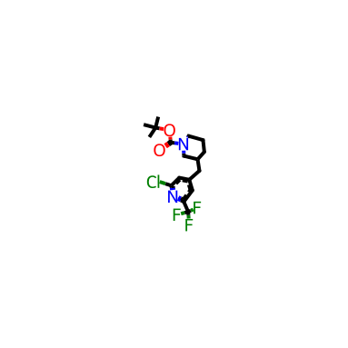 CC(C)(C)OC(=O)N1CCCC(Cc2cc(Cl)nc(C(F)(F)F)c2)C1